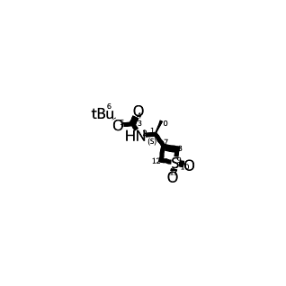 C[C@H](NC(=O)OC(C)(C)C)C1=CS(=O)(=O)C1